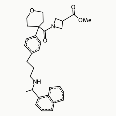 COC(=O)C1CN(C(=O)C2(c3ccc(CCCNC(C)c4cccc5ccccc45)cc3)CCOCC2)C1